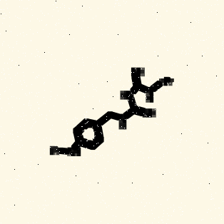 CCCNC(=N)NC(=N)NCc1ccc(NC(C)C)cc1